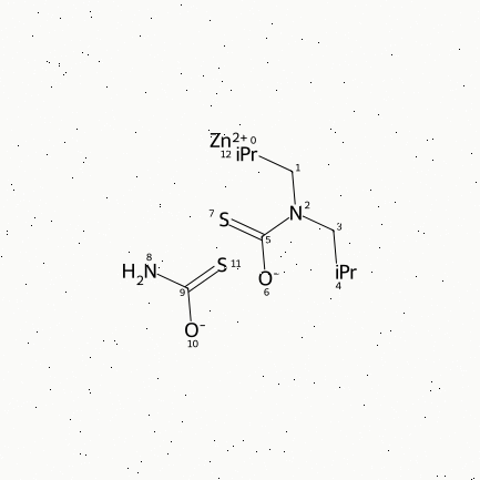 CC(C)CN(CC(C)C)C([O-])=S.NC([O-])=S.[Zn+2]